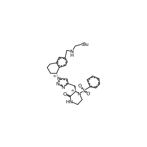 CC(C)(C)CNCc1ccc2c(c1)CCC[C@H]2n1cc(C[C@@H]2C(=O)NCCN2S(=O)(=O)c2ccccc2)nn1